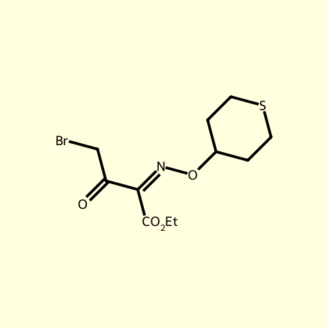 CCOC(=O)/C(=N\OC1CCSCC1)C(=O)CBr